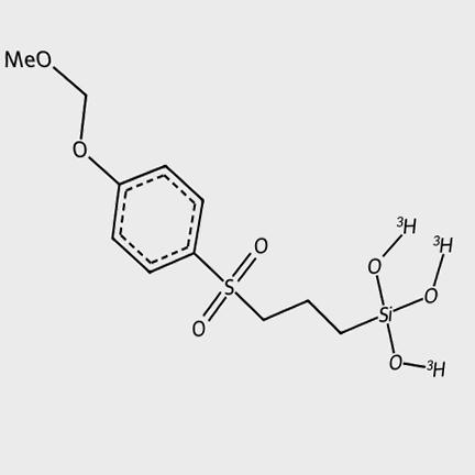 [3H]O[Si](CCCS(=O)(=O)c1ccc(OCOC)cc1)(O[3H])O[3H]